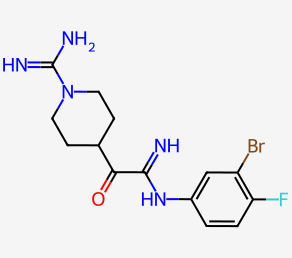 N=C(Nc1ccc(F)c(Br)c1)C(=O)C1CCN(C(=N)N)CC1